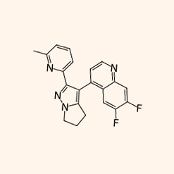 Cc1cccc(-c2nn3c(c2-c2ccnc4cc(F)c(F)cc24)CCC3)n1